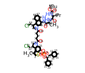 Cc1csc2c(OP(=O)(OCc3ccccc3)OCc3ccccc3)cc3c(c12)[C@H](CCl)CN3C(=O)CCCC(=O)N1C[C@@H](CCl)c2c1cc(NC(=O)[C@H](C)NC(=O)[C@@H](NC(=O)OC(C)(C)C)C(C)C)c1ccccc21